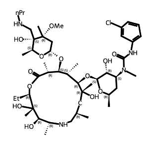 CCCNC[C@]1(O)[C@H](C)O[C@@H](O[C@H]2[C@H](C)[C@@H](O[C@@H]3O[C@H](C)C[C@H](N(C)C(=O)Nc4cccc(Cl)c4)[C@H]3O)[C@](C)(O)C[C@@H](C)CN[C@H](C)[C@@H](O)[C@](C)(O)[C@@H](CC)OC(=O)[C@@H]2C)C[C@@]1(C)OC